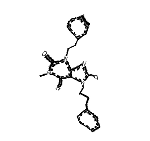 Cn1c(=O)c2c(nc(Cl)n2CCc2ccccc2)n(CCc2ccccc2)c1=O